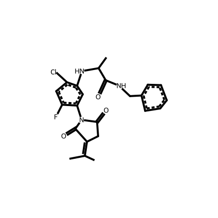 CC(C)=C1CC(=O)N(c2cc(NC(C)C(=O)NCc3ccccc3)c(Cl)cc2F)C1=O